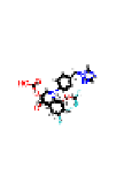 O=C(O)Oc1cn(-c2ccc(Cn3cncn3)cc2)c2c(OC(F)F)c(F)c(F)cc2c1=O